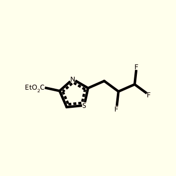 CCOC(=O)c1csc(CC(F)C(F)F)n1